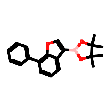 CC1(C)OB(c2coc3c(-c4ccccc4)cccc23)OC1(C)C